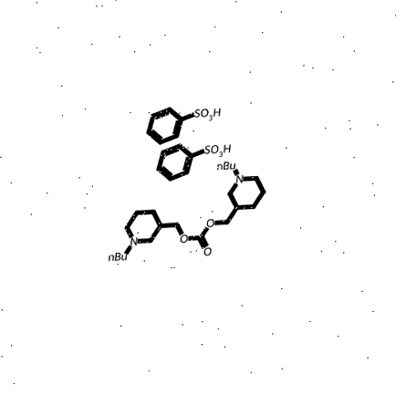 CCCCN1CCCC(COC(=O)OCC2CCCN(CCCC)C2)C1.O=S(=O)(O)c1ccccc1.O=S(=O)(O)c1ccccc1